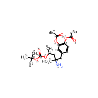 CCC(C)C(=O)Oc1ccc(CC(N)(C[C@H](C)OC(=O)OC(C)(C)CC)C(=O)O)cc1OC(=O)C(C)CC